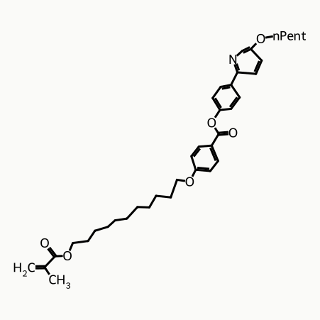 C=C(C)C(=O)OCCCCCCCCCCCOc1ccc(C(=O)Oc2ccc(-c3ccc(OCCCCC)cn3)cc2)cc1